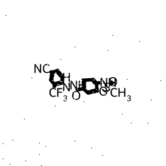 CS(=O)(=O)Nc1ccc(C(=O)NNc2ccc(C#N)cc2C(F)(F)F)cc1